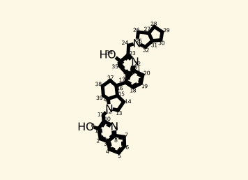 Oc1cc2ccccc2nc1CN1CCC2C(c3cccc4nc(CN5CC6CCCC6C5)c(O)cc34)CCCC21